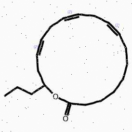 CCCC1C/C=C\C/C=C\C/C=C\CCCCCCC(=O)O1